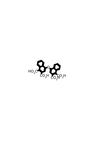 O=C(O)c1cc(Oc2cc(C(=O)O)c(C(=O)O)c3ccccc23)c2ccccc2c1C(=O)O